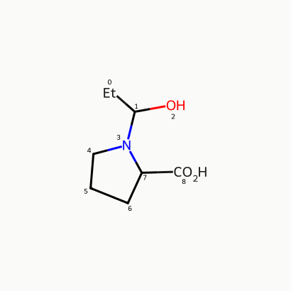 CCC(O)N1CCCC1C(=O)O